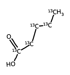 [13CH3][13CH2][13CH2][13CH2][13C](=O)O